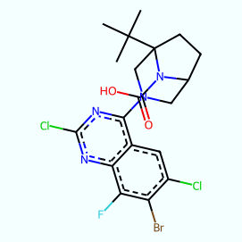 CC(C)(C)C12CCC(CN(c3nc(Cl)nc4c(F)c(Br)c(Cl)cc34)C1)N2C(=O)O